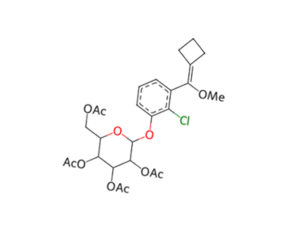 COC(=C1CCC1)c1cccc(OC2OC(COC(C)=O)C(OC(C)=O)C(OC(C)=O)C2OC(C)=O)c1Cl